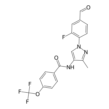 Cc1nn(-c2ccc(C=O)cc2F)cc1NC(=O)c1ccc(OC(F)(F)F)cc1